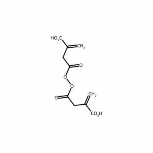 C=C(CC(=O)OOC(=O)CC(=C)C(=O)O)C(=O)O